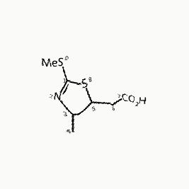 CSC1=NC(C)C(CC(=O)O)S1